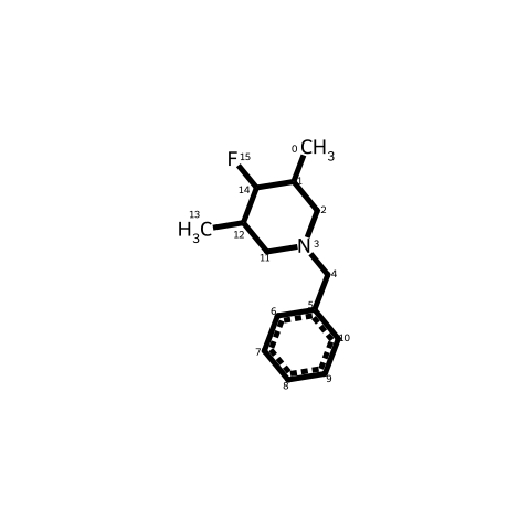 CC1CN(Cc2ccccc2)CC(C)C1F